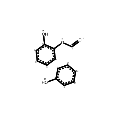 O=COc1ccccc1O.Oc1ccccc1